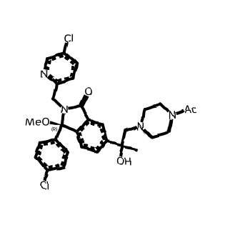 CO[C@]1(c2ccc(Cl)cc2)c2ccc(C(C)(O)CN3CCN(C(C)=O)CC3)cc2C(=O)N1Cc1ccc(Cl)cn1